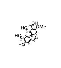 COc1cc(/C=C\c2ccc(CO)c(O)c2)cc(CO)c1CO